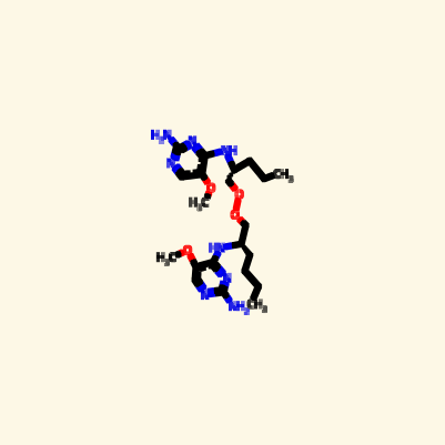 CCCC[C@H](COOC[C@@H](CCC)Nc1nc(N)ncc1OC)Nc1nc(N)ncc1OC